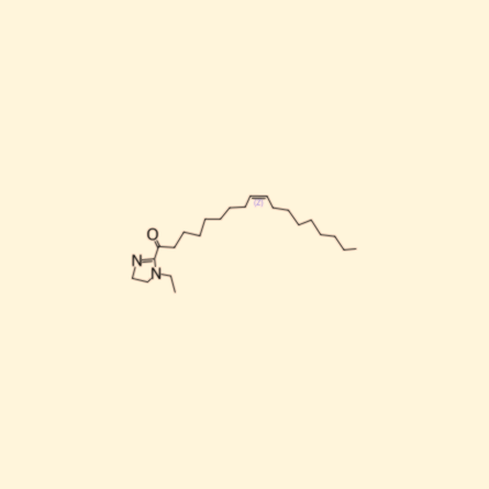 CCCCCCCC/C=C\CCCCCCCC(=O)C1=NCCN1CC